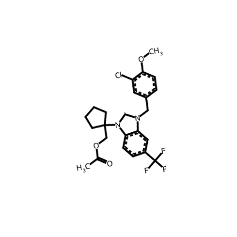 COc1ccc(CN2[CH]N(C3(COC(C)=O)CCCC3)c3ccc(C(F)(F)F)cc32)cc1Cl